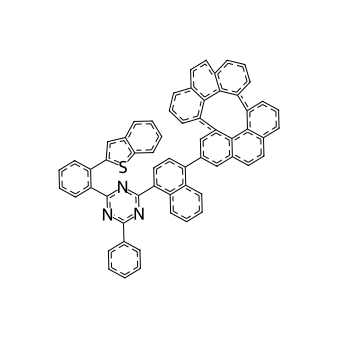 c1ccc(-c2nc(-c3ccccc3-c3cc4ccccc4s3)nc(-c3ccc(-c4cc5ccc6cccc7c8cccc9ccc%10cccc(c(c4)c5c67)c%10c98)c4ccccc34)n2)cc1